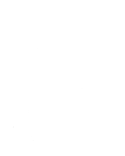 CC(Oc1ccc(SCC=C(c2ccc(Br)cc2)c2ccc(-c3ccc(Cl)cc3)cc2)cc1)C(=O)O